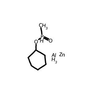 C[PH](=O)OC1CCCCC1.[AlH3].[Zn]